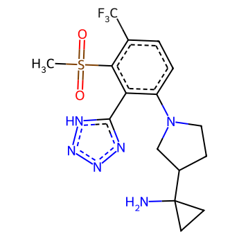 CS(=O)(=O)c1c(C(F)(F)F)ccc(N2CCC(C3(N)CC3)C2)c1-c1nnn[nH]1